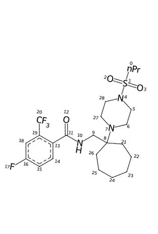 CCCS(=O)(=O)N1CCN(C2(CNC(=O)c3ccc(F)cc3C(F)(F)F)CCCCCC2)CC1